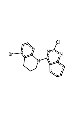 Clc1nc(N2CCCc3c(Br)cccc32)c2ccccc2n1